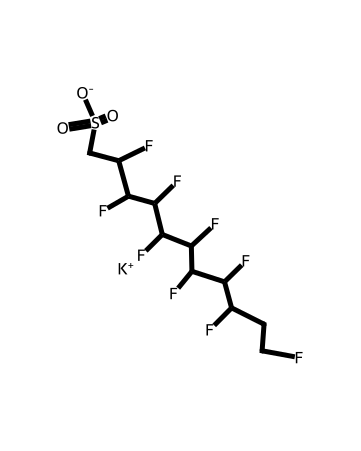 O=S(=O)([O-])CC(F)C(F)C(F)C(F)C(F)C(F)C(F)C(F)CCF.[K+]